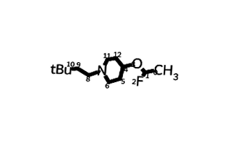 CC(F)OC1CCN(CCC(C)(C)C)CC1